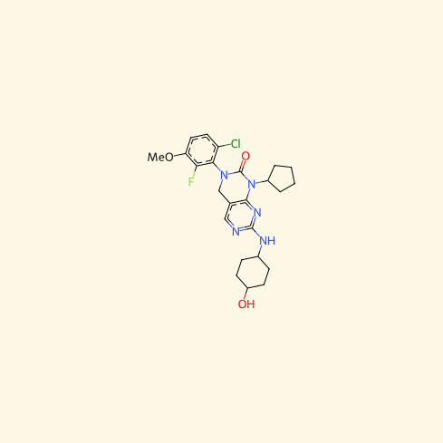 COc1ccc(Cl)c(N2Cc3cnc(NC4CCC(O)CC4)nc3N(C3CCCC3)C2=O)c1F